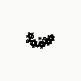 Cc1c(-c2ccc(CC3=CCN(C(=O)[C@H]4CCCO4)CC3)cc2)ccc2cccnc12